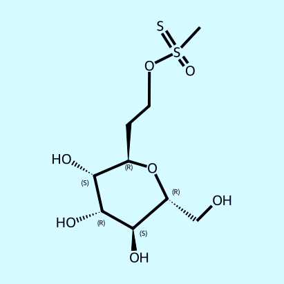 CS(=O)(=S)OCC[C@H]1O[C@H](CO)[C@@H](O)[C@H](O)[C@@H]1O